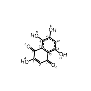 O=C1C=C(O)C(=O)c2c(O)c(O)cc(O)c21